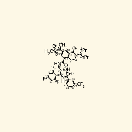 CCCC(CCC)N1CCc2c(C(=O)N[C@@H](Cc3cc(F)cc(F)c3)[C@H](O)CNC3(c4cccc(C(F)(F)F)c4)CC3)cc(N(C)S(C)(=O)=O)cc2C1=O